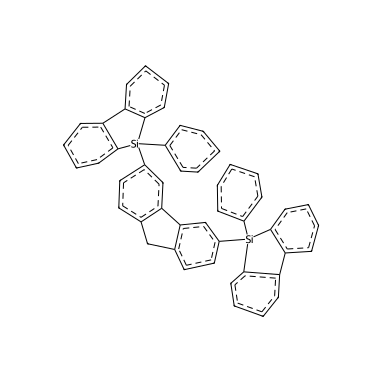 c1ccc([Si]2(c3ccc4c(c3)-c3cc([Si]5(c6ccccc6)c6ccccc6-c6ccccc65)ccc3C4)c3ccccc3-c3ccccc32)cc1